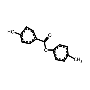 Cc1ccc(OC(=O)c2ccc(O)cc2)cc1